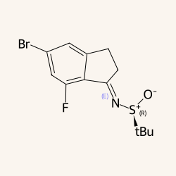 CC(C)(C)[S@+]([O-])/N=C1\CCc2cc(Br)cc(F)c21